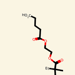 CCC(C)(C)C(=O)OCCOC(=O)CCCC(=O)O